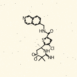 CC1(C)C(=N)N[C@](C)(c2sc(C(=O)NCc3ccc4cnccc4c3)cc2Cl)CS1(=O)=O